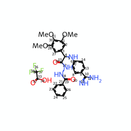 COc1cc(C(Nc2ccc(C(=N)N)cc2)C(=O)NNC(=O)c2ccccc2)cc(OC)c1OC.O=C(O)C(F)(F)F